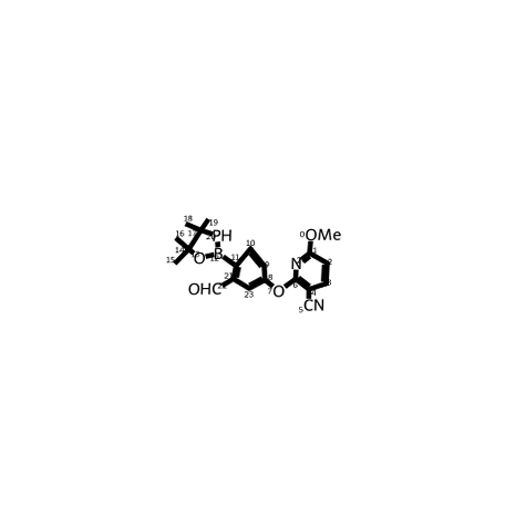 COc1ccc(C#N)c(Oc2ccc(B3OC(C)(C)C(C)(C)P3)c(C=O)c2)n1